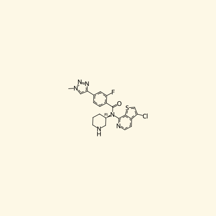 Cn1cc(-c2ccc(C(=O)N(c3nccc4c(Cl)csc34)[C@@H]3CCCNC3)c(F)c2)nn1